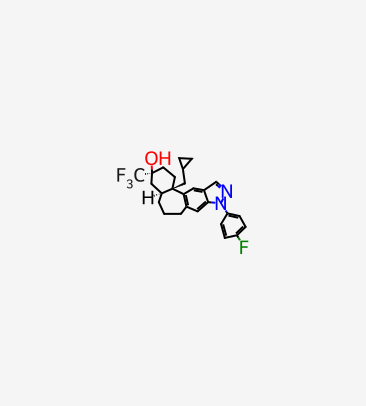 O[C@@]1(C(F)(F)F)CC[C@]2(CC3CC3)c3cc4cnn(-c5ccc(F)cc5)c4cc3CCC[C@H]2C1